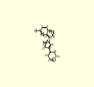 Ic1ccn2ncc(-n3cc(C4CCOCC4)cn3)c2n1